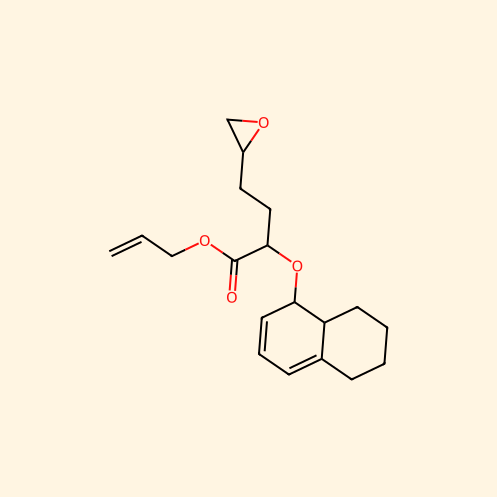 C=CCOC(=O)C(CCC1CO1)OC1C=CC=C2CCCCC21